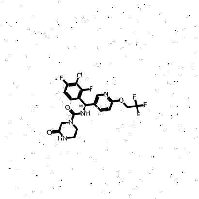 O=C1CN(C(=O)N[C@H](c2ccc(OCC(F)(F)F)nc2)c2ccc(F)c(Cl)c2F)CCN1